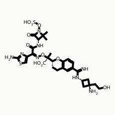 CC1(C)[C@H](NC(=O)/C(=N\O[C@](C)(C(=O)O)[C@H]2CCc3cc(C(=N)N[C@H]4C[C@@](N)(CCO)C4)ccc3O2)c2csc(N)n2)C(=O)N1OS(=O)(=O)O